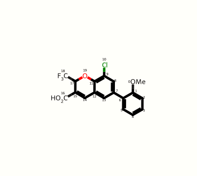 COc1ccccc1-c1cc(Cl)c2c(c1)C=C(C(=O)O)C(C(F)(F)F)O2